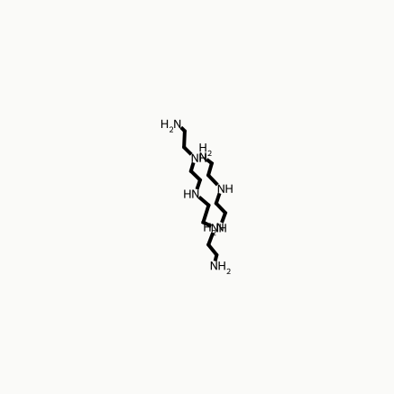 NCCNCCN.NCCNCCNCCNCCN